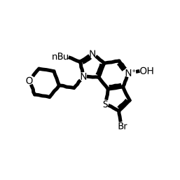 CCCCc1nc2c[n+](O)c3cc(Br)sc3c2n1CC1CCOCC1